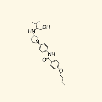 CCCCOc1ccc(C(=O)Nc2ccc(N3CCC(NC(CO)C(C)C)C3)cc2)cc1